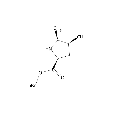 CCCCOC(=O)[C@@H]1C[C@H](C)[C@H](C)N1